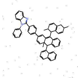 CC1C=CC2=C(C=CC(C)C2C2=C3C=C(c4ccc(-c5nc6ccccc6n5-c5ccccc5)cc4)C=CC3(C)C(c3cccc4ccccc34)c3ccccc32)C1